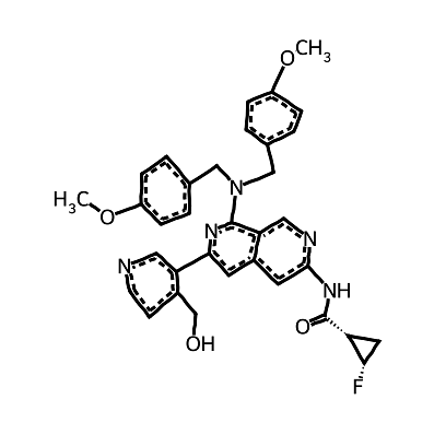 COc1ccc(CN(Cc2ccc(OC)cc2)c2nc(-c3cnccc3CO)cc3cc(NC(=O)[C@@H]4C[C@@H]4F)ncc23)cc1